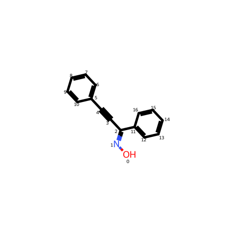 O/N=C(/C#Cc1ccccc1)c1ccccc1